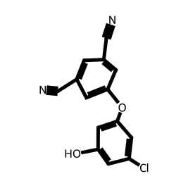 N#Cc1cc(C#N)cc(Oc2cc(O)cc(Cl)c2)c1